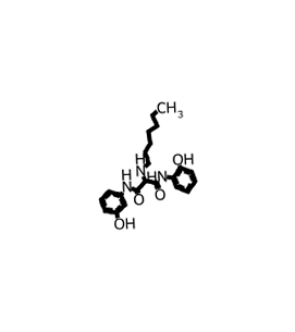 CCCCCCCNC(C(=O)Nc1cccc(O)c1)C(=O)Nc1ccccc1O